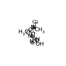 COC(=O)c1c(-c2cnn(CC34CC5CC(CC(C5)C3)C4)c2C)ccn2c(Nc3ncccc3C(=O)O)cnc12